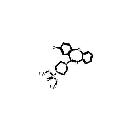 COP(=O)(OC)N1CCN(C2=Nc3ccccc3Oc3ccc(Cl)cc32)CC1